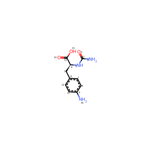 NC(=O)N[C@@H](Cc1ccc(N)cc1)C(=O)O